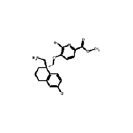 COC(=O)c1ccc(OC[C@@]2(CN)CCCc3cc(Cl)ccc32)c(Br)n1